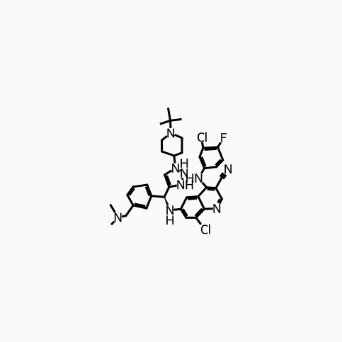 CN(C)Cc1cccc([C@H](Nc2cc(Cl)c3ncc(C#N)c(Nc4ccc(F)c(Cl)c4)c3c2)C2=CN(C3CCN(C(C)(C)C)CC3)NN2)c1